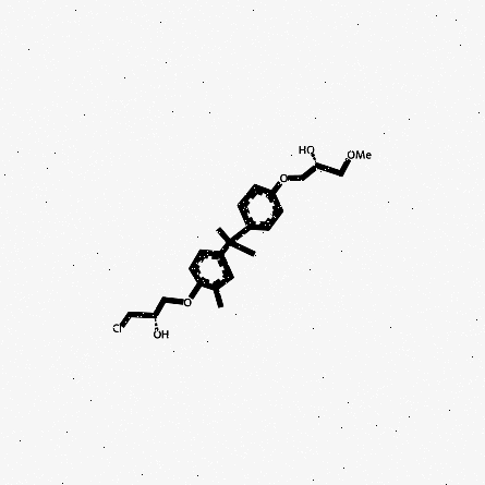 COC[C@@H](O)COc1ccc(C(C)(C)c2ccc(OC[C@H](O)CCl)c(C)c2)cc1